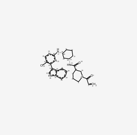 C=CC(=O)N1CCCC(C(=O)N[C@H]2CCC[C@@H](Nc3ncc(Cl)c(-c4c[nH]c5ccccc45)n3)C2)C1